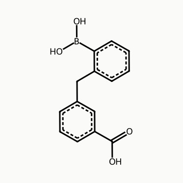 O=C(O)c1cccc(Cc2ccccc2B(O)O)c1